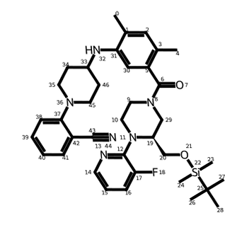 Cc1cc(C)c(C(=O)N2CCN(c3ncccc3F)[C@H](CO[Si](C)(C)C(C)(C)C)C2)cc1NC1CCN(c2ccccc2C#N)CC1